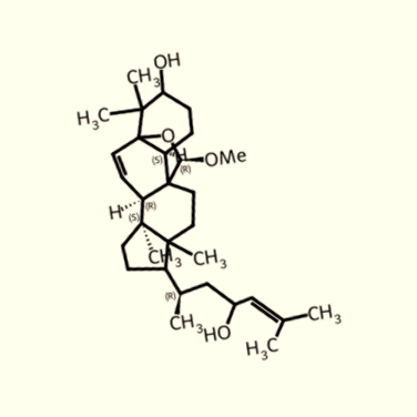 CO[C@@H]1OC23C=C[C@H]4C1(CCC1(C)C([C@H](C)CC(O)C=C(C)C)CC[C@@]41C)[C@@H]2CCC(O)C3(C)C